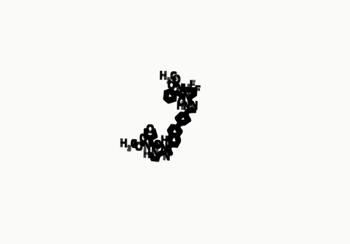 COC(=O)NC(C(=O)N1CC(F)(F)CC1c1ncc(-c2ccc(-c3ccc4cc(-c5cnc(C6CCCN6C(=O)C(NC(=O)OC)C6CCOCC6)[nH]5)ccc4c3)cc2)[nH]1)c1ccccc1